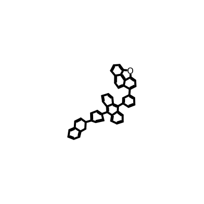 C1=CC(c2ccc(-c3c4ccccc4c(-c4cccc(-c5ccc6oc7cccc8ccc5c6c87)c4)c4ccccc34)cc2)Cc2ccccc21